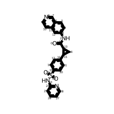 O=C(Nc1ccc2cnccc2c1)C1CC1c1ccc(S(=O)(=O)Nc2ccccn2)cc1